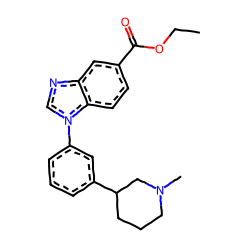 CCOC(=O)c1ccc2c(c1)ncn2-c1cccc(C2CCCN(C)C2)c1